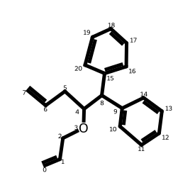 C=CCOC(CC=C)C(c1ccccc1)c1ccccc1